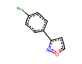 Brc1ccc(-c2ccon2)cc1